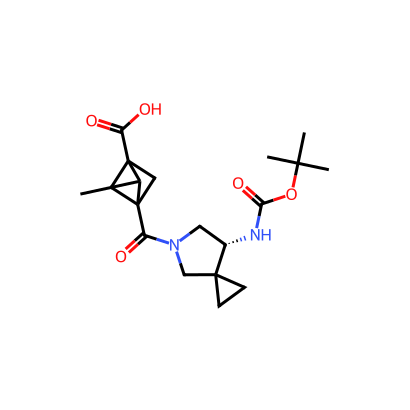 CC1C2(C(=O)O)CC1(C(=O)N1C[C@H](NC(=O)OC(C)(C)C)C3(CC3)C1)C2